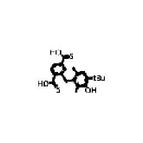 Cc1cc(C(C)(C)C)c(O)c(C)c1Cc1cc(C(O)=S)ccc1C(O)=S